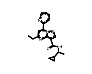 CCc1cc(-c2ccccn2)n2ncc(C(=O)NC(C)C3CC3)c2n1